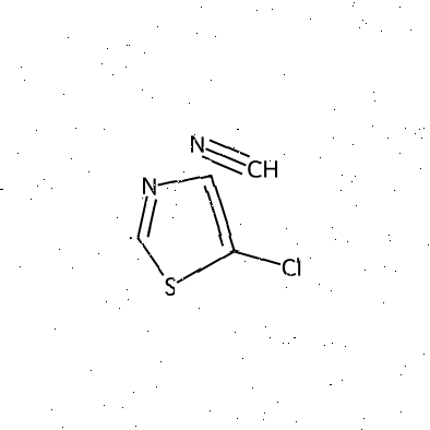 C#N.Clc1cn[c]s1